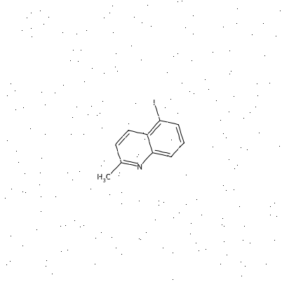 Cc1ccc2c(I)cccc2n1